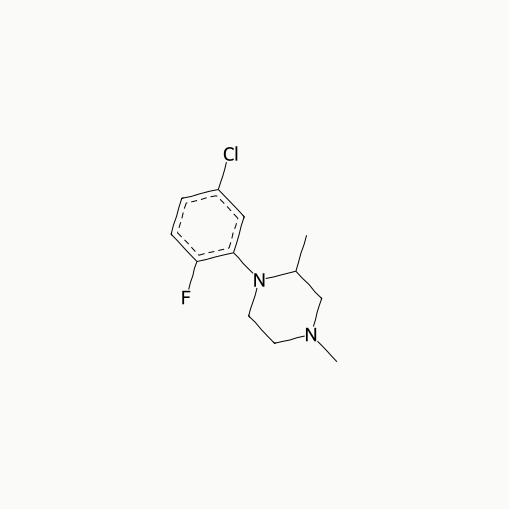 CC1CN(C)CCN1c1cc(Cl)ccc1F